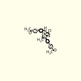 CCCOc1cc(N2CCN(C(C)=O)CC2)ccc1Nc1nc(Nc2ccc(N3CCN(C(C)=O)CC3)cc2)ncc1Cl